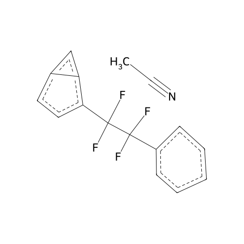 CC#N.FC(F)(c1ccccc1)C(F)(F)c1ccc2cc1-2